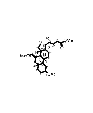 COC=C1C[C@H]2CCC(OC(C)=O)C[C@]2(C)[C@H]2CC[C@]3(C)[C@@H]([C@H](C)CCC(=O)OC)CC[C@H]3[C@H]12